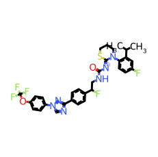 CC(C)c1cc(F)ccc1N1CCCS/C1=N\C(=O)NCC(F)c1ccc(-c2ncn(-c3ccc(OC(F)(F)F)cc3)n2)cc1